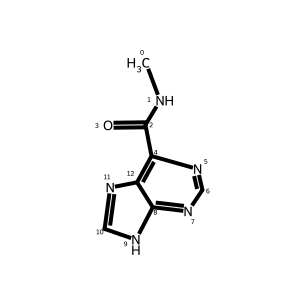 CNC(=O)c1ncnc2[nH]cnc12